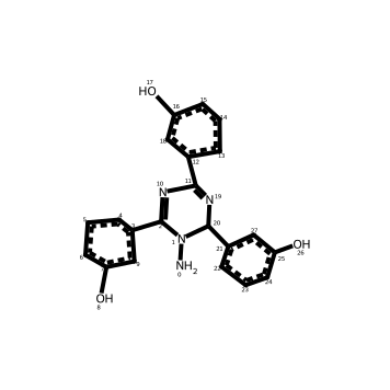 NN1C(c2cccc(O)c2)=NC(c2cccc(O)c2)=NC1c1cccc(O)c1